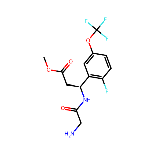 COC(=O)C[C@H](NC(=O)CN)c1cc(OC(F)(F)F)ccc1F